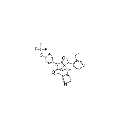 CCc1cnccc1C(C)C1(C(C)c2ccncc2CC)NC(=O)N(c2ccc(SC(F)(F)F)cc2)C1=O